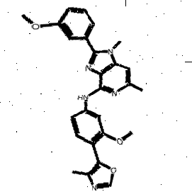 COc1cccc(-c2nc3c(Nc4ccc(-c5ocnc5C)c(OC)c4)nc(C)cc3n2C)c1